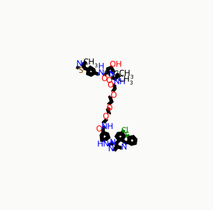 Cc1ncsc1-c1ccc(CNC(=O)[C@@H]2C[C@@H](O)CN2C(=O)[C@@H](NC(=O)CCOCCCOCCOCCNC(=O)c2ccc(Nc3ncc4c(n3)-c3ccc(Cl)cc3C(c3ccccc3F)=NC4)cc2)C(C)(C)C)cc1